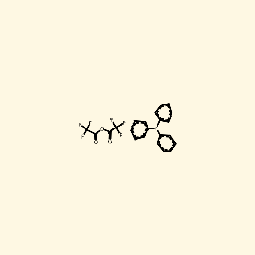 O=C(OC(=O)C(F)(F)F)C(F)(F)F.c1ccc(P(c2ccccc2)c2ccccc2)cc1